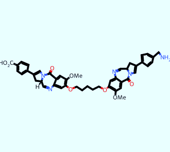 COc1cc2c(cc1OCCCCCOc1cc3c(cc1OC)C(=O)N1C=C(c4ccc(C(=O)O)cc4)C[C@H]1C=N3)N=CC1CC(c3ccc(CN)cc3)=CN1C2=O